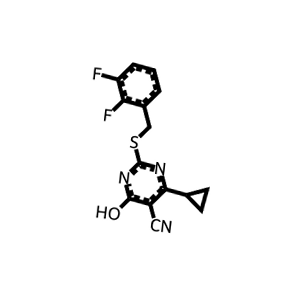 N#Cc1c(O)nc(SCc2cccc(F)c2F)nc1C1CC1